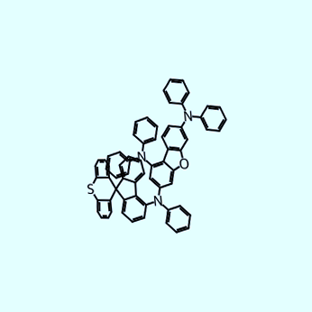 c1ccc(N(c2ccccc2)c2ccc3c(c2)oc2cc(N(c4ccccc4)c4cccc5c4-c4ccccc4C54c5ccccc5Sc5ccccc54)cc(N(c4ccccc4)c4ccccc4)c23)cc1